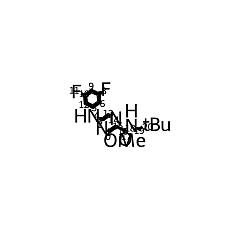 COc1nc(Nc2cc(F)cc(F)c2)cnc1C(=O)NCC(C)(C)C